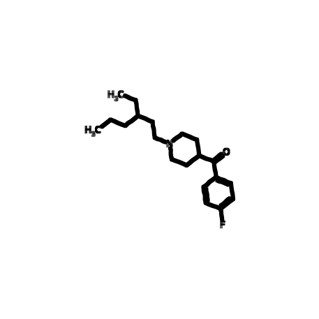 CCCC(CC)CCN1CCC(C(=O)c2ccc(F)cc2)CC1